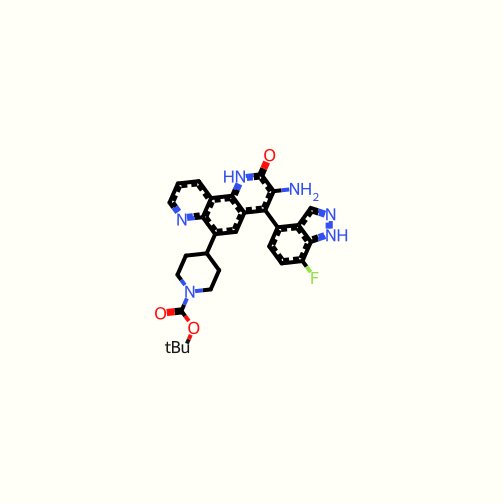 CC(C)(C)OC(=O)N1CCC(c2cc3c(-c4ccc(F)c5[nH]ncc45)c(N)c(=O)[nH]c3c3cccnc23)CC1